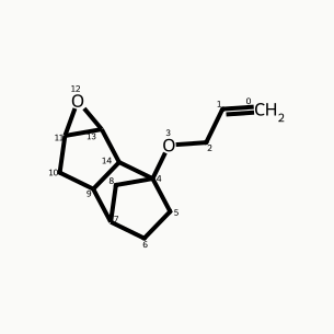 C=CCOC12CCC(C1)C1CC3OC3C12